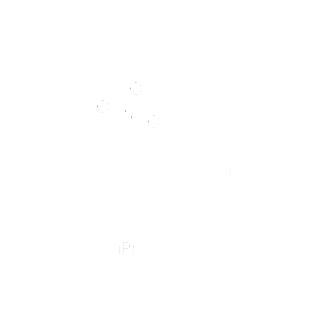 Cc1ccc(S(=O)(=O)[O-])cc1.Cc1ccc([I+]c2ccc(CC(C)C)cc2)cc1